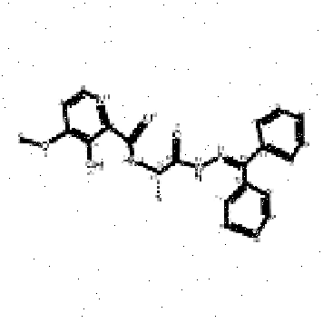 COc1ccnc(C(=O)N[C@@H](C)C(=O)NN=C(c2ccccc2)c2ccccc2)c1O